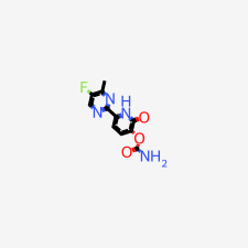 Cc1nc(-c2ccc(OC(N)=O)c(=O)[nH]2)ncc1F